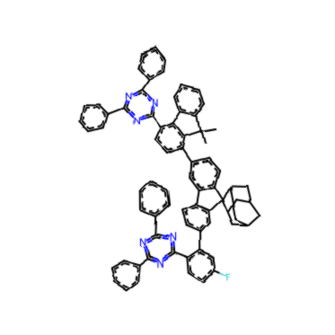 CC1(C)c2ccccc2-c2c(-c3nc(-c4ccccc4)nc(-c4ccccc4)n3)ccc(-c3ccc4c(c3)-c3ccc(-c5cc(F)ccc5-c5nc(-c6ccccc6)nc(-c6ccccc6)n5)cc3C43C4CC5CC(C4)CC3C5)c21